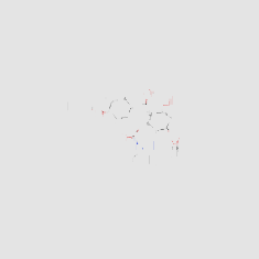 CNC(=O)Oc1cc(OC)ccc1C(=O)c1ccc(OC)cc1O